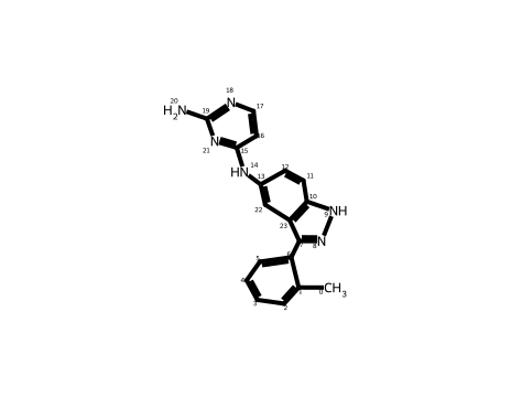 Cc1ccccc1-c1n[nH]c2ccc(Nc3ccnc(N)n3)cc12